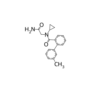 Cc1cccc(-c2ccccc2C(=O)N(CC(N)=O)C2CC2)c1